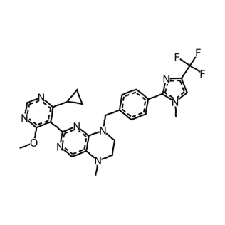 COc1ncnc(C2CC2)c1-c1ncc2c(n1)N(Cc1ccc(-c3nc(C(F)(F)F)cn3C)cc1)CCN2C